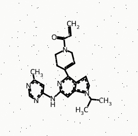 C=CC(=O)N1CC=C(c2nc(Nc3cc(C)ncn3)cc3c2ccn3C(C)C)CC1